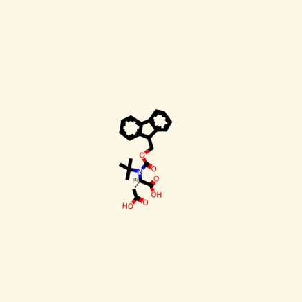 CC(C)(C)N(C(=O)OCC1c2ccccc2-c2ccccc21)[C@@H](CC(=O)O)C(=O)O